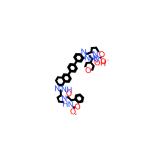 COC(=O)NC(C(=O)N1CCCC1c1nc2c([nH]1)-c1ccc(-c3ccc(-c4ccc5nc(C6CCCN6[N+](O)(C(=O)[O-])C(C)C6CCOCC6)[nH]c5c4)cc3)cc1CC2)c1ccccc1